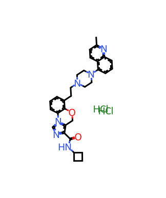 Cc1ccc2c(N3CCN(CCc4cccc5c4OCc4c(C(=O)NC6CCC6)ncn4-5)CC3)cccc2n1.Cl.Cl